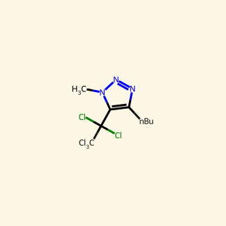 CCCCc1nnn(C)c1C(Cl)(Cl)C(Cl)(Cl)Cl